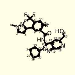 Cn1ccc(-c2cc(C(=O)Nc3c4cc(CO)ncc4nn3-c3ccccc3)c(F)cc2C(F)(F)F)n1